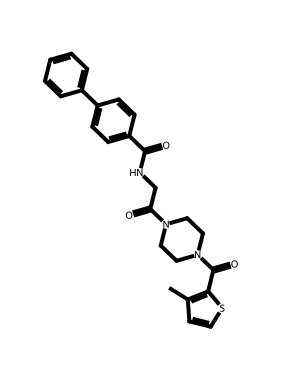 Cc1ccsc1C(=O)N1CCN(C(=O)CNC(=O)c2ccc(-c3ccccc3)cc2)CC1